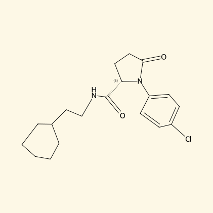 O=C(NCCC1CCCCC1)[C@@H]1CCC(=O)N1c1ccc(Cl)cc1